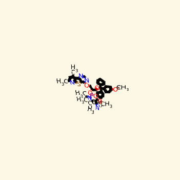 COc1ccc(C(OCC(COc2ncnc3c2sc2nc(C)cc(C)c23)OP(OCCC#N)N(C(C)C)C(C)C)(c2ccccc2)c2ccc(OC)cc2)cc1